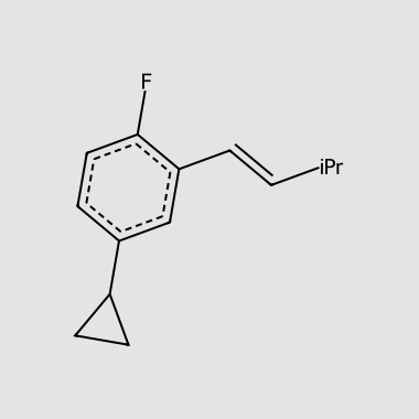 CC(C)C=Cc1cc(C2CC2)ccc1F